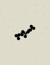 c1ccc(-c2nc(-c3ccc4c(c3)oc3cc(-n5c6ccccc6c6ccccc65)ccc34)nc(-c3cccc4sc5c(-c6ccc7c8ccccc8n(-c8ccccc8)c7c6)cccc5c34)n2)cc1